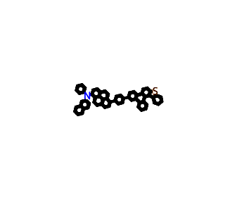 c1ccc(N(c2ccc3ccccc3c2)c2ccc3ccc4c(-c5ccc(-c6ccc7c(c6)c6ccccc6c6c7ccc7sc8ccccc8c76)cc5)ccc5ccc2c3c54)cc1